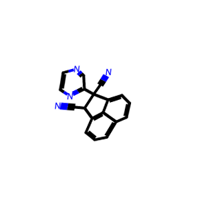 N#CC1c2cccc3cccc(c23)C1(C#N)c1cnccn1